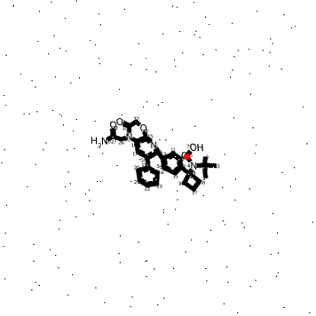 CC(C)(C)N(C(=O)O)C1(c2ccc(-c3nc4c(cc3-c3ccccc3)N(CC(N)=O)C(=O)CO4)cc2)CCC1